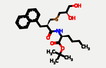 CCCC[C@H](NC(=O)[C@@H](CSC[C@@H](O)CO)Cc1cccc2ccccc12)C(=O)OC(C)(C)C